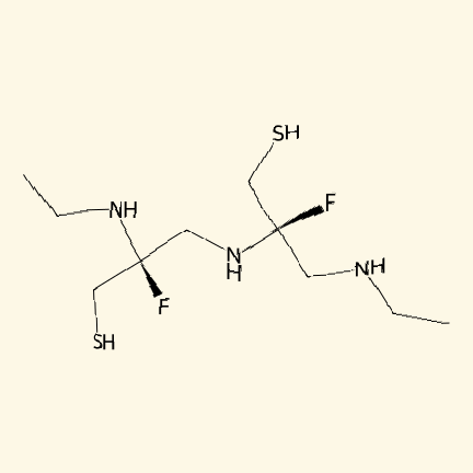 CCNC[C@@](F)(CS)NC[C@](F)(CS)NCC